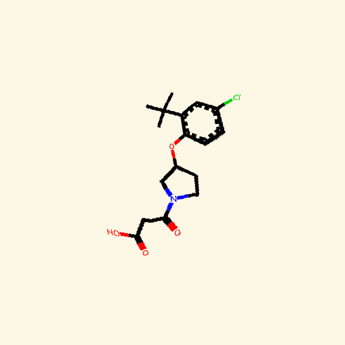 CC(C)(C)c1cc(Cl)ccc1OC1CCN(C(=O)CC(=O)O)C1